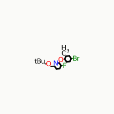 Cc1cc(Br)ccc1Oc1nc(COCC(C)(C)C)ccc1F